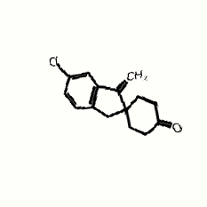 C=C1c2cc(Cl)ccc2CC12CCC(=O)CC2